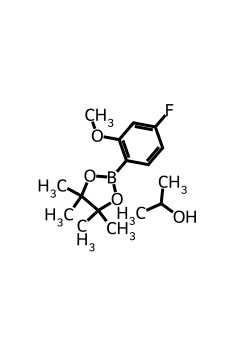 CC(C)O.COc1cc(F)ccc1B1OC(C)(C)C(C)(C)O1